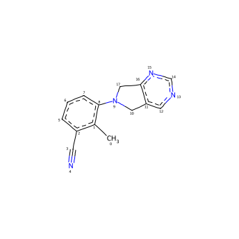 Cc1c(C#N)cccc1N1Cc2cncnc2C1